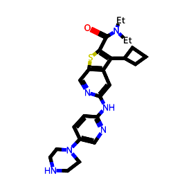 CCN(CC)C(=O)c1sc2cnc(Nc3ccc(N4CCNCC4)cn3)cc2c1C1CCC1